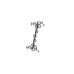 CC(S)C(=O)OCCOCCOCCOCCOC(=O)C(C)S